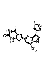 Cn1cc(-c2cnn3c(N)cc(N4Cc5[nH]c(=O)[nH]c(=O)c5C4)nc23)cn1